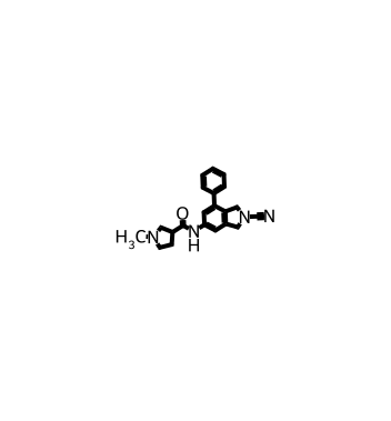 CN1CCC(C(=O)Nc2cc3c(c(-c4ccccc4)c2)CN(C#N)C3)C1